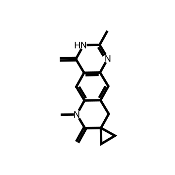 C=C1NC(C)=Nc2cc3c(cc21)N(C)C(=C)C1(CC1)C3